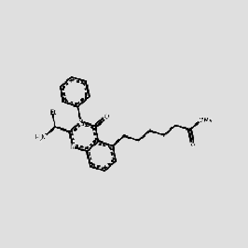 CC[C@H](N)c1nc2cccc(CCCCCC(=O)OC)c2c(=O)n1-c1ccccc1